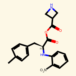 Cc1ccc(C[C@H](Nc2ccccc2[N+](=O)[O-])C(=O)OC(=O)C2CNC2)cc1